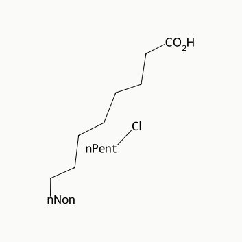 CCCCCCCCCCCCCCCCC(=O)O.CCCCCCl